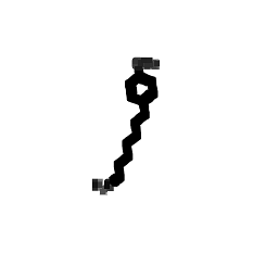 C=CCCCCCCc1ccc(OC)cc1